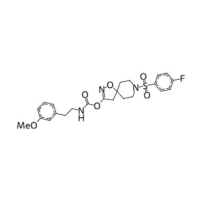 COc1cccc(CCNC(=O)OC2=NOC3(CCN(S(=O)(=O)c4ccc(F)cc4)CC3)C2)c1